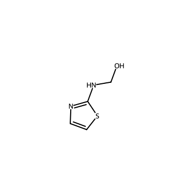 OCNc1nccs1